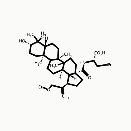 C=C(COCC)[C@@H]1CC[C@]2(C(=O)N[C@@H](CC(C)C)C(=O)O)CC[C@]3(C)[C@H](CCC4[C@@]5(C)CC[C@H](O)C(C)(C)[C@@H]5CC[C@]43C)[C@@H]12